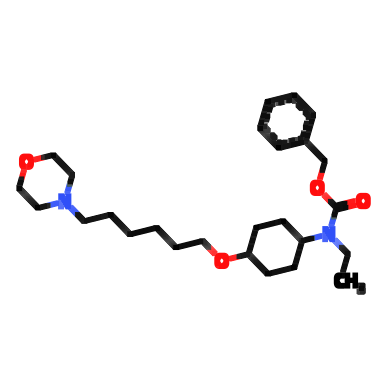 CCN(C(=O)OCc1ccccc1)C1CCC(OCCCCCCN2CCOCC2)CC1